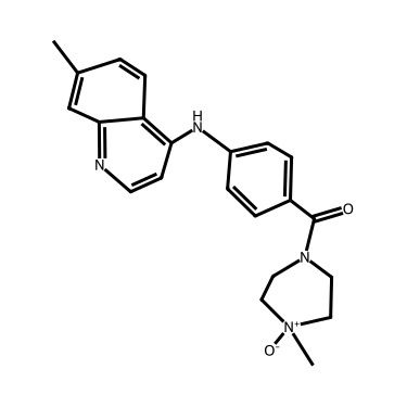 Cc1ccc2c(Nc3ccc(C(=O)N4CC[N+](C)([O-])CC4)cc3)ccnc2c1